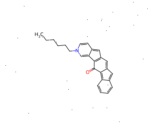 CCCCCCn1ccc2cc3c(c-2c1)C(=O)C1=c2ccccc2=CC1=C3